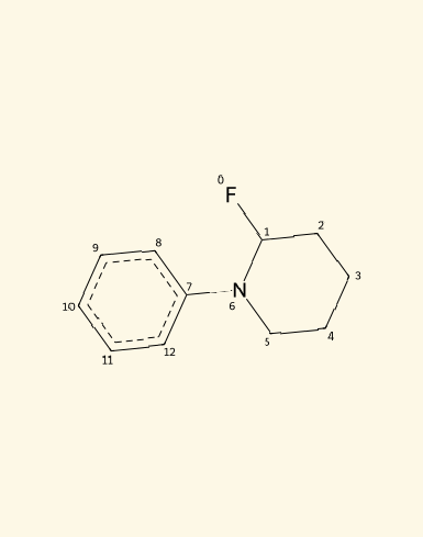 FC1CCCCN1c1ccccc1